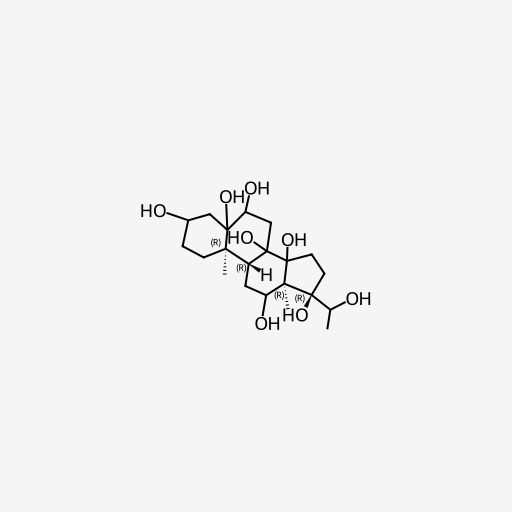 CC(O)[C@@]1(O)CCC2(O)C3(O)CC(O)C4(O)CC(O)CC[C@]4(C)[C@H]3CC(O)[C@@]21C